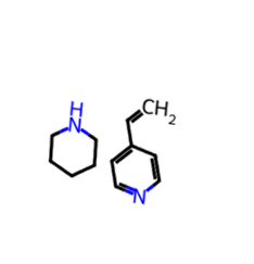 C1CCNCC1.C=Cc1ccncc1